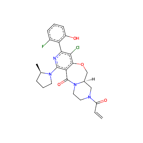 C=CC(=O)N1CCN2C(=O)c3c(N4CCC[C@H]4C)nc(-c4c(O)cccc4F)c(Cl)c3OC[C@H]2C1